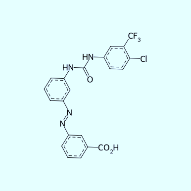 O=C(Nc1cccc(/N=N/c2cccc(C(=O)O)c2)c1)Nc1ccc(Cl)c(C(F)(F)F)c1